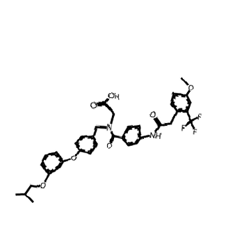 COc1ccc(CC(=O)Nc2ccc(C(=O)N(CC(=O)O)Cc3ccc(Oc4cccc(OCC(C)C)c4)cc3)cc2)c(C(F)(F)F)c1